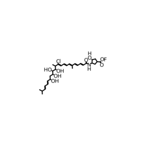 CC(/C=C/C=C/C(=O)NC1CC(C(=O)OF)CC1O)=C\C=C\C=C(/Cl)C(C)C(O)C(O)C(O)CC(O)/C=C/C=C/C(C)C